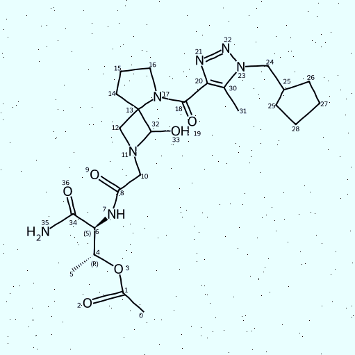 CC(=O)O[C@H](C)[C@H](NC(=O)CN1CC2(CCCN2C(=O)c2nnn(CC3CCCC3)c2C)C1O)C(N)=O